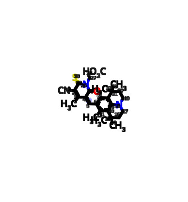 [C-]#[N+]C1=C(C)/C(=C/c2cc3c4c(c2C)C(C)(C)CCN4CCC3(C)C)C(=O)N(CC(=O)O)C1=S